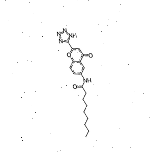 CCCCCCCCC(=O)Nc1ccc2oc(-c3nnn[nH]3)cc(=O)c2c1